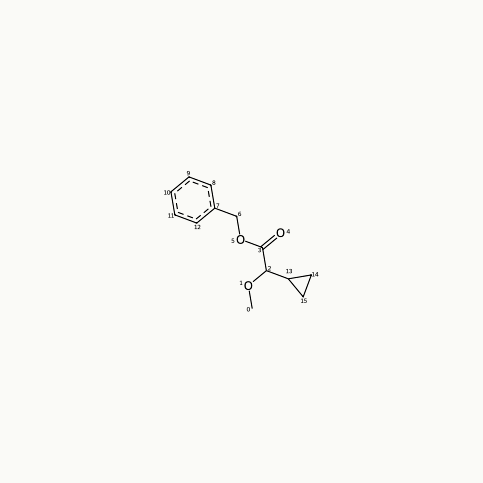 COC(C(=O)OCc1ccccc1)C1CC1